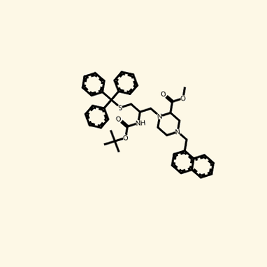 COC(=O)C1CN(Cc2cccc3ccccc23)CCN1CC(CSC(c1ccccc1)(c1ccccc1)c1ccccc1)NC(=O)OC(C)(C)C